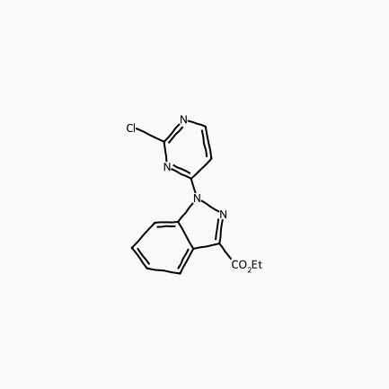 CCOC(=O)c1nn(-c2ccnc(Cl)n2)c2ccccc12